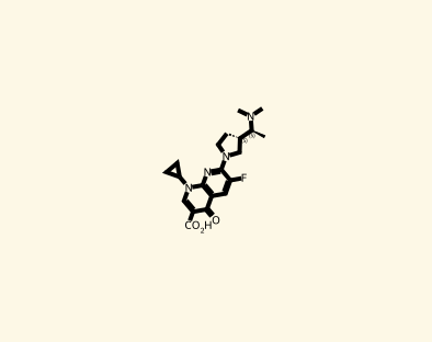 C[C@@H]([C@H]1CCN(c2nc3c(cc2F)c(=O)c(C(=O)O)cn3C2CC2)C1)N(C)C